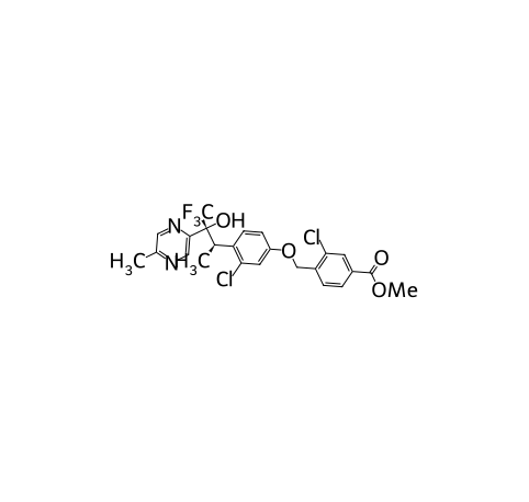 COC(=O)c1ccc(COc2ccc([C@@H](C)[C@@](O)(c3cnc(C)cn3)C(F)(F)F)c(Cl)c2)c(Cl)c1